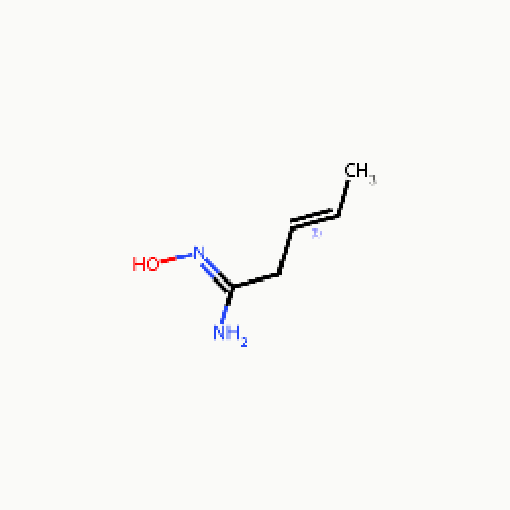 C/C=C/CC(N)=NO